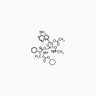 CC(=O)O[C@H]1[C@H](c2ccc3c(N)ncnn23)O[C@](C#N)(COP(=O)(N[C@@H](C)C(=O)OC2CCCCC2)Oc2ccccc2)[C@H]1OC(C)=O